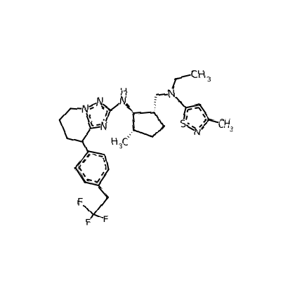 CCN(C[C@@H]1CC[C@H](C)[C@H]1Nc1nc2n(n1)CCCC2c1ccc(CC(F)(F)F)cc1)c1cc(C)ns1